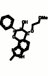 COCCO[C@@H]1c2ccc3[nH]c(C)nc3c2O[C@H](c2ccccc2)[C@H]1O